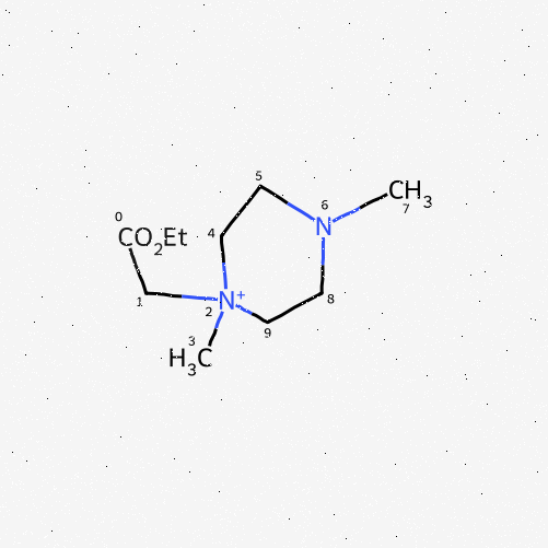 CCOC(=O)C[N+]1(C)CCN(C)CC1